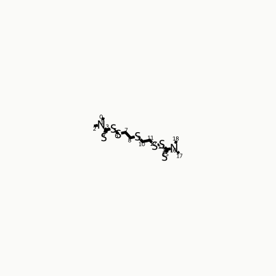 CN(C)C(=S)SSCCSCCSSC(=S)N(C)C